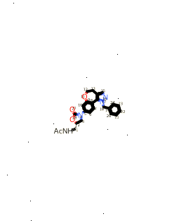 CC(=O)NC[C@H]1CN(c2ccc3c(c2)OCCc2cnn(Cc4ccccc4)c2-3)C(=O)O1